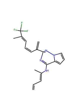 C=C/C=C(\C)Nc1nc(C(=C)/C=C\C=C(/C)C(F)(F)F)nn2cccc12